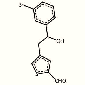 O=Cc1cc(CC(O)c2cccc(Br)c2)cs1